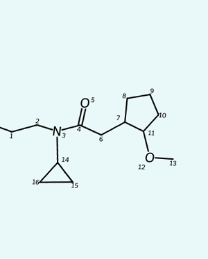 CCCN(C(=O)CC1CCCC1OC)C1CC1